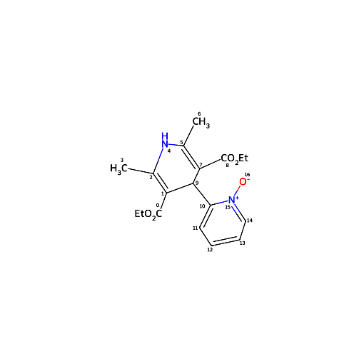 CCOC(=O)C1=C(C)NC(C)=C(C(=O)OCC)C1c1cccc[n+]1[O-]